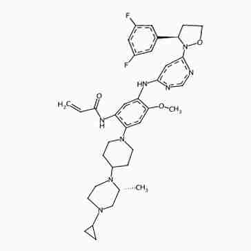 C=CC(=O)Nc1cc(Nc2cc(N3OCC[C@@H]3c3cc(F)cc(F)c3)ncn2)c(OC)cc1N1CCC(N2CCN(C3CC3)C[C@H]2C)CC1